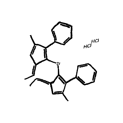 CC=C1C=C(C)C(c2ccccc2)=[C]1[Zr][C]1=C(c2ccccc2)C(C)=CC1=CC.Cl.Cl